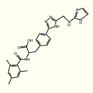 Cc1cc(C)c(C(=O)NC(Cc2ccc(-c3nnc(CNc4ncc[nH]4)[nH]3)cc2)C(=O)O)c(C)c1